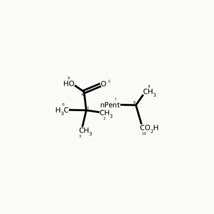 CC(C)(C)C(=O)O.CCCCCC(C)C(=O)O